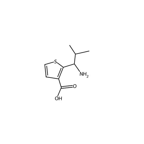 CC(C)C(N)c1sccc1C(=O)O